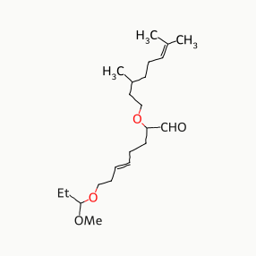 CCC(OC)OCC/C=C/CCC(C=O)OCCC(C)CCC=C(C)C